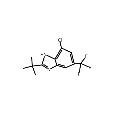 CC(C)(C)c1nc2cc(C(F)(F)F)cc(Cl)c2[nH]1